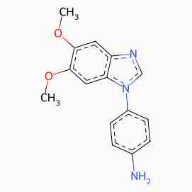 COc1cc2ncn(-c3ccc(N)cc3)c2cc1OC